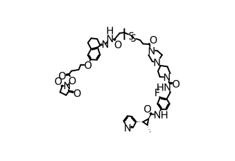 C[C@H]1[C@H](C(=O)Nc2ccc(CNC(=O)N3CCC(N4CCN(C(=O)CCSSC(C)(C)CC(=O)N/N=C5\CCCc6cc(OCCCC(=O)ON7C(=O)CCC7=O)ccc65)CC4)CC3)c(F)c2)[C@H]1c1cccnc1